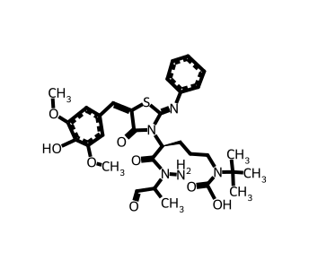 COc1cc(C=C2SC(=Nc3ccccc3)N([C@@H](CCCN(C(=O)O)C(C)(C)C)C(=O)N(N)C(C)C=O)C2=O)cc(OC)c1O